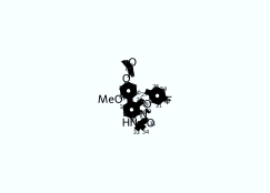 COc1cc(OCC2CO2)ccc1-c1ccc2c(c1COc1cc(F)ccc1C)N(C)C(=O)C(C)(C)N2